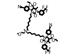 CCOC(=O)C1=C(C)N(c2cccc(C(F)(F)F)c2)C(=O)N(CCCCCCCC[N+](C)(CCCCCCCCN2C(=O)N(c3cccc(C(F)(F)F)c3)C(C)=C(C(=O)OCC)[C@H]2c2ccc(C#N)cc2)CCOC)[C@@H]1c1ccc(C#N)cc1